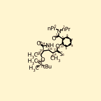 CCCN(CCC)C(=O)c1ccccc1OC(=S)[C@H](C)[C@H]1NC(=O)[C@@H]1[C@@H](C)O[Si](C)(C)C(C)(C)C